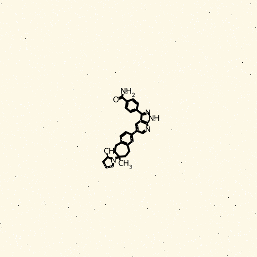 C[C@@H]1CCCN1C1(C)CCc2ccc(-c3cnc4[nH]nc(-c5ccc(C(N)=O)cc5)c4c3)cc2CC1